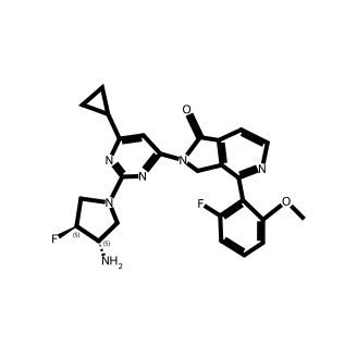 COc1cccc(F)c1-c1nccc2c1CN(c1cc(C3CC3)nc(N3C[C@H](N)[C@@H](F)C3)n1)C2=O